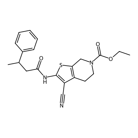 CCOC(=O)N1CCc2c(sc(NC(=O)CC(C)c3ccccc3)c2C#N)C1